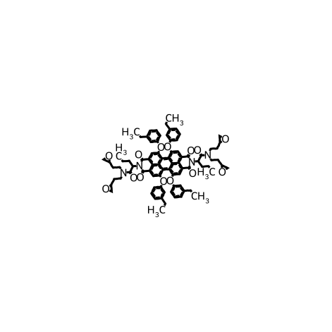 CCCC(C(=O)N(CCC1CO1)CCC1CO1)N1C(=O)c2cc(Oc3cccc(CC)c3)c3c4c(Oc5cccc(CC)c5)cc5c6c(cc(Oc7cccc(CC)c7)c(c7c(Oc8cccc(CC)c8)cc(c2c37)C1=O)c64)C(=O)N(C(CCC)C(=O)N(CCC1CO1)CCC1CO1)C5=O